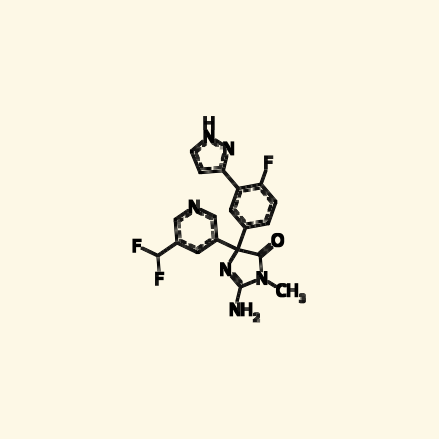 CN1C(=O)C(c2cncc(C(F)F)c2)(c2ccc(F)c(-c3cc[nH]n3)c2)N=C1N